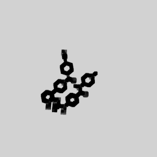 CN1CCC(N(C)C(=O)c2ccc(NC(=N)/N=c3\[nH]cccc3C3=CCN(C(=O)[C@H]4CC[C@H](C#N)CC4)CC3)cc2)CC1